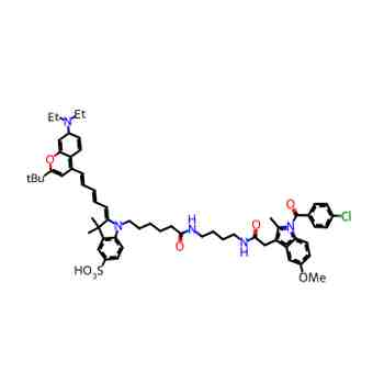 CCN(CC)C1C=CC2=C(/C=C/C=C/C=C3/N(CCCCCC(=O)NCCCCNC(=O)Cc4c(C)n(C(=O)c5ccc(Cl)cc5)c5ccc(OC)cc45)c4ccc(S(=O)(=O)O)cc4C3(C)C)C=C(C(C)(C)C)OC2=C1